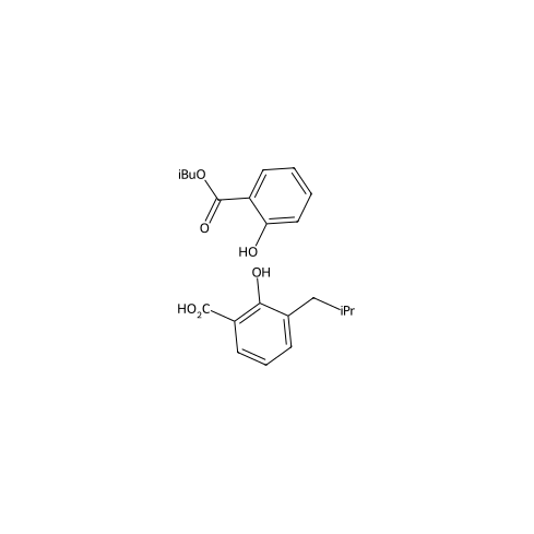 CC(C)COC(=O)c1ccccc1O.CC(C)Cc1cccc(C(=O)O)c1O